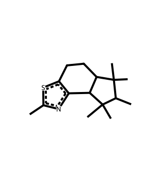 Cc1nc2c(s1)CCC1C2C(C)(C)C(C)C1(C)C